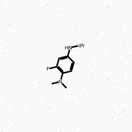 CCCNc1ccc(N(C)C)c(F)c1